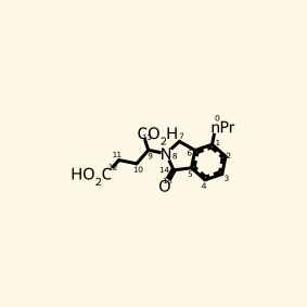 CCCc1cccc2c1CN(C(CCC(=O)O)C(=O)O)C2=O